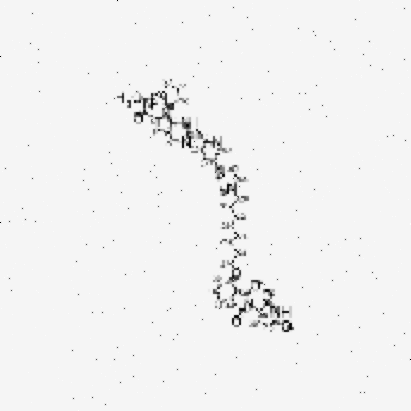 CN(C)C(=O)c1cc2cnc(Nc3ccc(N4CCN(CCCCCCCCOc5cccc6c5C(=O)N(C5CCC(=O)NC5=O)C6=O)CC4)cn3)nc2n1C1CCCC1